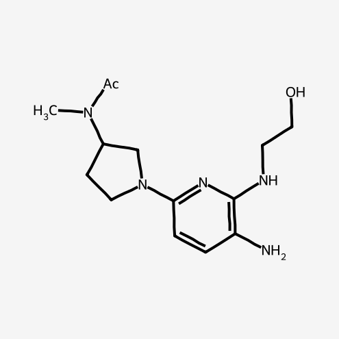 CC(=O)N(C)C1CCN(c2ccc(N)c(NCCO)n2)C1